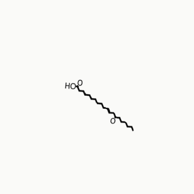 CCCCCCC(=O)C/C=C/CCCCCCCCCC(=O)O